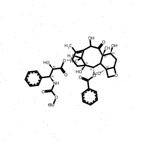 CC(=O)O[C@@]12COC1C[C@H](O)[C@@]1(C)C(=O)C(O)C3=C(C)[C@@H](OC(=O)[C@H](O)[C@@H](NC(=O)OC(C)(C)C)c4ccccc4)C[C@@](O)([C@@H](OC(=O)c4ccccc4)C21)C3(C)C